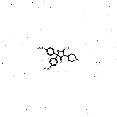 COc1ccc(C2(c3ccc(OC)cc3)NC(=N)N(C3CCN(C)CC3)C2=O)cc1